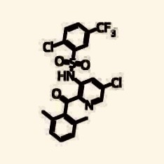 Cc1cccc(C)c1C(=O)c1ncc(Cl)cc1NS(=O)(=O)c1cc(C(F)(F)F)ccc1Cl